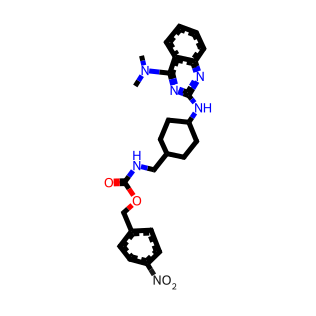 CN(C)c1nc(NC2CCC(CNC(=O)OCc3ccc([N+](=O)[O-])cc3)CC2)nc2ccccc12